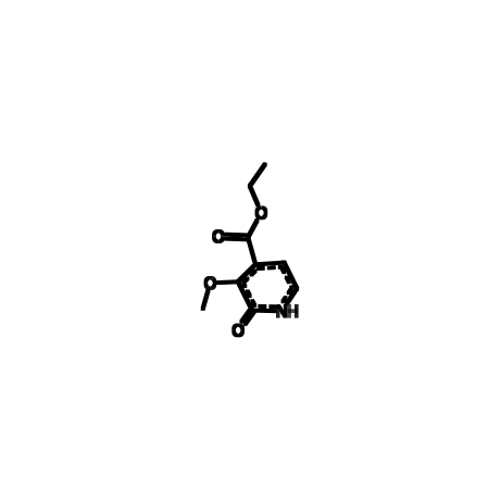 CCOC(=O)c1cc[nH]c(=O)c1OC